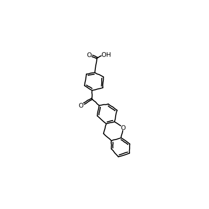 O=C(O)c1ccc(C(=O)c2ccc3c(c2)Cc2ccccc2O3)cc1